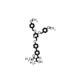 COC(=O)[C@H](C(=O)c1ccc(-c2ccc(OCc3cc(OCc4ccc(OC)cc4)c(OCc4ccc(OC)cc4)cn3)cc2)cc1)[C@@H](C)O